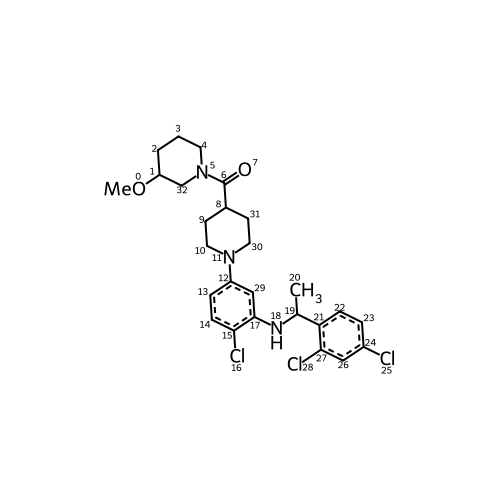 COC1CCCN(C(=O)C2CCN(c3ccc(Cl)c(NC(C)c4ccc(Cl)cc4Cl)c3)CC2)C1